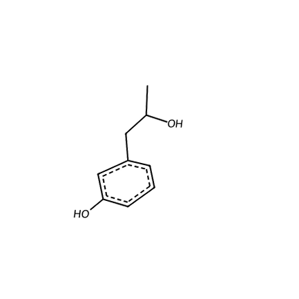 CC(O)Cc1cccc(O)c1